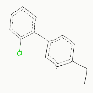 CCc1[c]cc(-c2ccccc2Cl)cc1